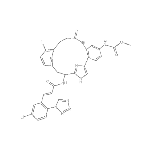 COC(=O)Nc1ccc2c(c1)NC(=O)CCc1nc(ccc1F)CC(NC(=O)/C=C/c1cc(Cl)ccc1-n1cnnn1)c1nc-2c[nH]1